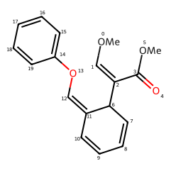 CO/C=C(\C(=O)OC)C1C=CC=C/C1=C/Oc1ccccc1